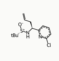 C=CC[C@H](N[S@@+]([O-])C(C)(C)C)c1cccc(Cl)n1